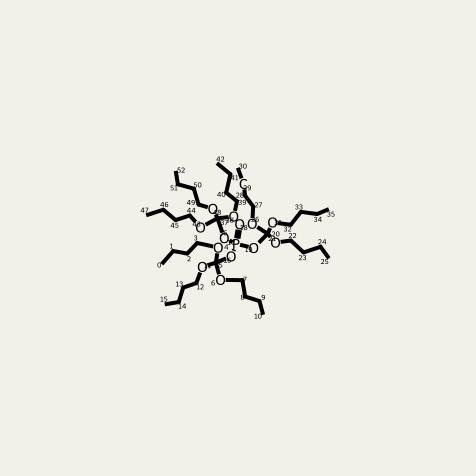 CCCCOC(OCCCC)(OCCCC)OP(=O)(OC(OCCCC)(OCCCC)OCCCC)OC(OCCCC)(OCCCC)OCCCC